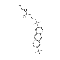 CCCOC(=O)CCCC(C)(C)c1ccc2cc3cc(C(C)(C)C)ccc3cc2c1